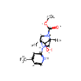 CC(C)(C)OC(=O)N1C[C@H]2C(O)[C@H]1CN2c1cc(C(F)(F)F)ccn1